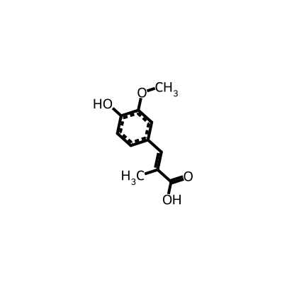 COc1cc(/C=C(\C)C(=O)O)ccc1O